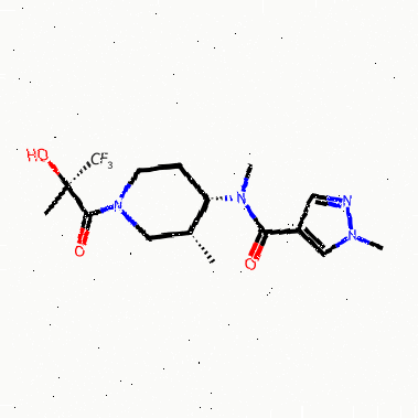 C[C@@H]1CN(C(=O)[C@@](C)(O)C(F)(F)F)CC[C@@H]1N(C)C(=O)c1cnn(C)c1